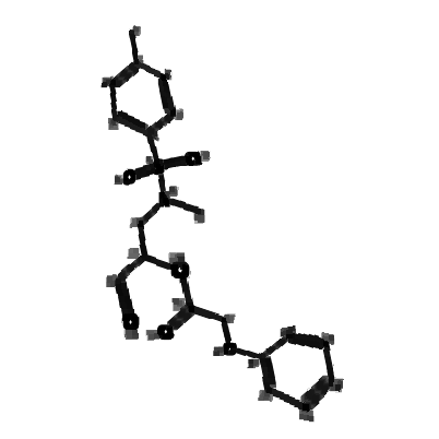 Cc1ccc(S(=O)(=O)N(C)CC([C]=O)OC(=O)COc2ccccc2)cc1